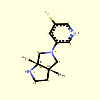 Fc1cncc(N2C[C@@H]3CCN[C@@H]3C2)c1